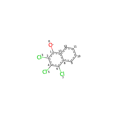 [O]c1c(Cl)c(Cl)c(Cl)c2ccccc12